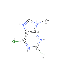 CCCn1cnc2c(Cl)nc(Cl)nc21